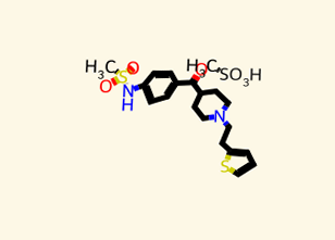 CS(=O)(=O)Nc1ccc(C(=O)C2CCN(CCc3cccs3)CC2)cc1.CS(=O)(=O)O